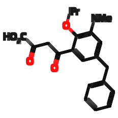 CNc1cc(Cc2ccccc2)cc(C(=O)CC(=O)C(=O)O)c1OC(C)C